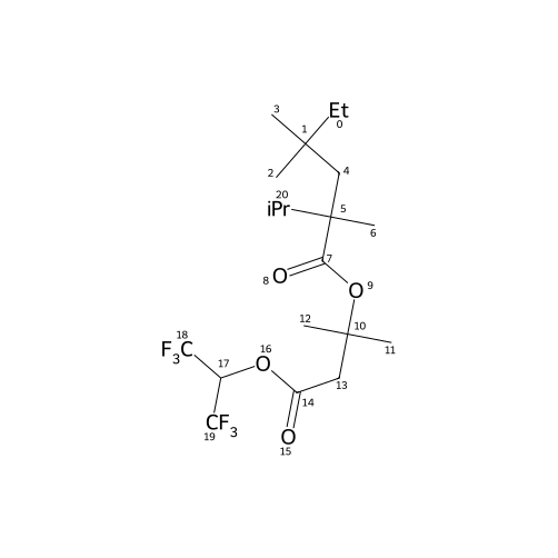 CCC(C)(C)CC(C)(C(=O)OC(C)(C)CC(=O)OC(C(F)(F)F)C(F)(F)F)C(C)C